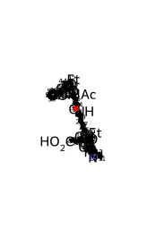 CC[C@H]1O[C@@H](n2ccc(/N=C\N(C)C)nc2=O)[C@@H](OC(=O)CCC(=O)O)C1OCCCCCCNC(=O)CCCCO[C@@H]1O[C@H](CC)[C@H](C)[C@H](OC(=O)c2ccccc2)[C@H]1NC(C)=O